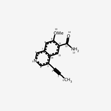 CC#Cc1cncc2cc(OC)c(C(N)=O)cc12